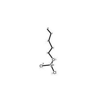 CCCCCO[Si](Cl)Cl